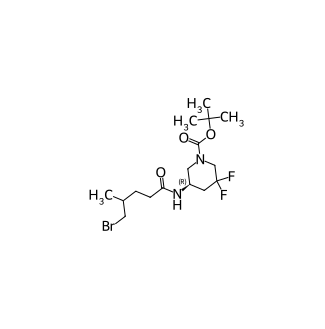 CC(CBr)CCC(=O)N[C@H]1CN(C(=O)OC(C)(C)C)CC(F)(F)C1